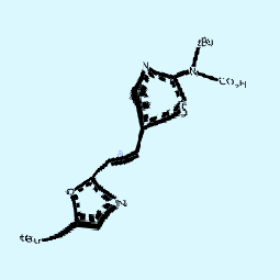 CC(C)(C)c1cnc(/C=C/c2cnc(N(C(=O)O)C(C)(C)C)s2)o1